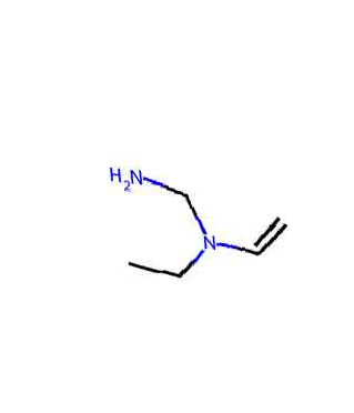 C=CN(CC)CN